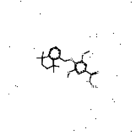 COc1cc(C(=O)NN)cc(OC)c1OCc1cccc2c1C(C)(C)CCC2(C)C